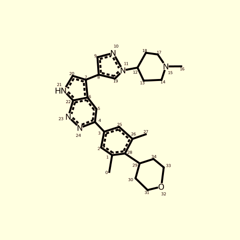 Cc1cc(-c2cc3c(-c4cnn(C5CCN(C)CC5)c4)c[nH]c3nn2)cc(C)c1C1CCOCC1